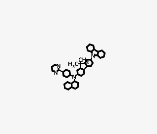 CC1(C)c2cc(N(c3ccc(-c4ncccn4)cc3)c3cccc4ccccc34)ccc2-c2ccc(-n3c4ccccc4c4ccccc43)cc21